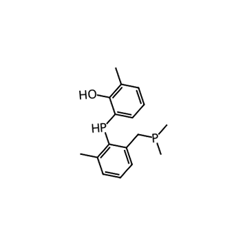 Cc1cccc(Pc2c(C)cccc2CP(C)C)c1O